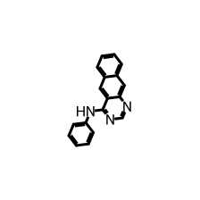 c1ccc(Nc2ncnc3cc4ccccc4cc23)cc1